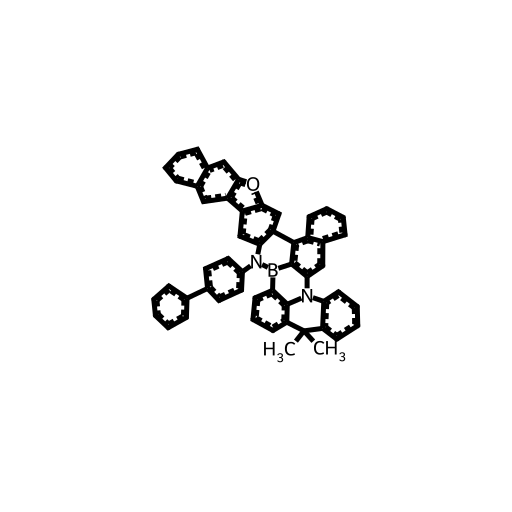 CC1(C)c2ccccc2N2c3cc4ccccc4c4c3B(c3cccc1c32)N(c1ccc(-c2ccccc2)cc1)c1cc2c(cc1-4)oc1cc3ccccc3cc12